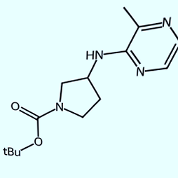 Cc1nccnc1NC1CCN(C(=O)OC(C)(C)C)C1